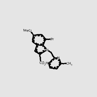 COc1cc(C(C)C)c2c(c1)cc(C(=O)O)n2Cc1cccc(C)n1